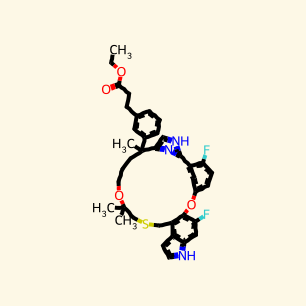 CCOC(=O)CCc1cccc(C2(C)CCCOC(C)(C)CSCc3c(c(F)cc4[nH]ccc34)Oc3ccc(F)c(c3)-c3nc2c[nH]3)c1